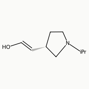 CC(C)N1CC[C@@H](/C=C/O)C1